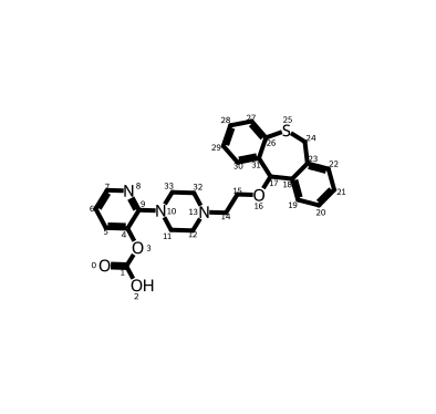 O=C(O)Oc1cccnc1N1CCN(CCOC2c3ccccc3CSc3ccccc32)CC1